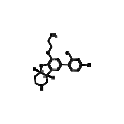 CCCOc1cc(-c2ccc(Cl)cc2Cl)cc2c1O[C@H]1CCNC[C@@H]21